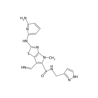 Cn1c(C(=O)NCc2cc[nH]n2)c(C=N)c2sc(Nc3cccc(N)n3)nc21